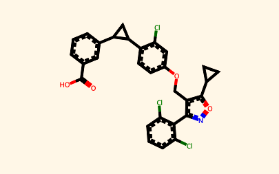 O=C(O)c1cccc(C2CC2c2ccc(OCc3c(-c4c(Cl)cccc4Cl)noc3C3CC3)cc2Cl)c1